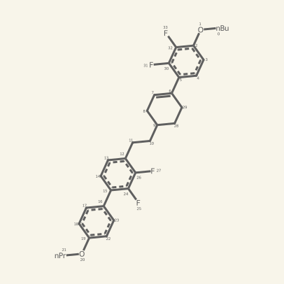 CCCCOc1ccc(C2=CCC(CCc3ccc(-c4ccc(OCCC)cc4)c(F)c3F)CC2)c(F)c1F